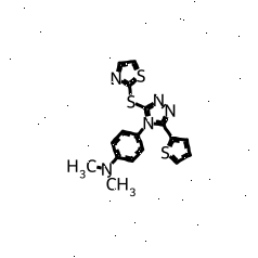 CN(C)c1ccc(-n2c(Sc3nccs3)nnc2-c2cccs2)cc1